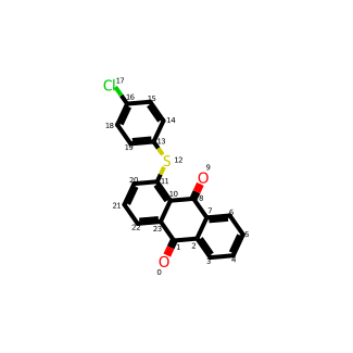 O=C1c2ccccc2C(=O)c2c(Sc3ccc(Cl)cc3)cccc21